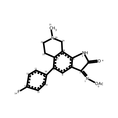 CC(=O)ON=C1C(=O)Nc2c1cc(-c1ccc(F)cc1)c1c2CN(C)CC1